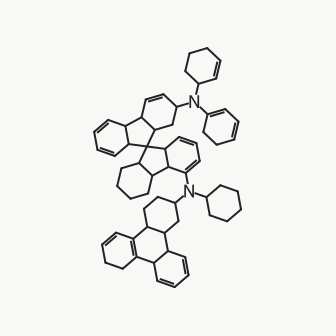 C1=CCCC(N(C2C=CCCC2)C2C=CC3C4C=CC=CC4C4(C5C=CC=C(N(C6CCCCC6)C6CCC7C8=C(CCC=C8)C8C=CC=CC8C7C6)C5C5CCCCC54)C3C2)=C1